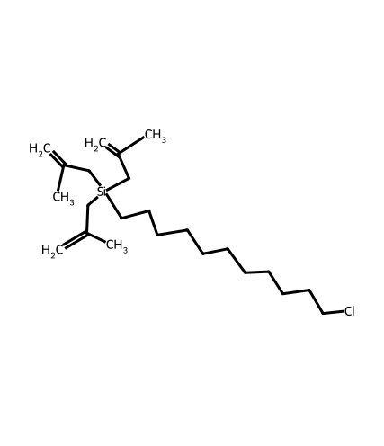 C=C(C)C[Si](CCCCCCCCCCCCl)(CC(=C)C)CC(=C)C